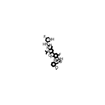 COc1ccccc1CS(=O)(=O)Nc1c(F)cc(-c2cc3cnc(N[C@@H]4CNC[C@@H](F)C4)nc3n(C(C)C)c2=O)c(F)c1F